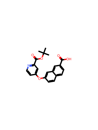 CC(C)(C)OC(=O)c1cc(Oc2ccc3ccc(C(=O)O)cc3c2)ccn1